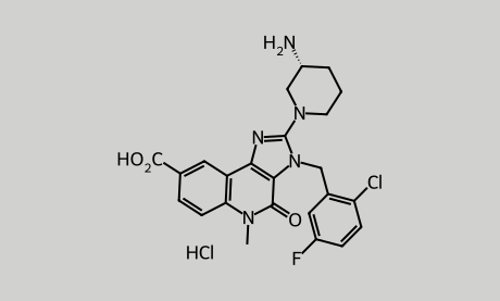 Cl.Cn1c(=O)c2c(nc(N3CCC[C@@H](N)C3)n2Cc2cc(F)ccc2Cl)c2cc(C(=O)O)ccc21